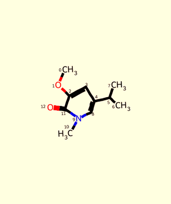 COc1cc(C(C)C)cn(C)c1=O